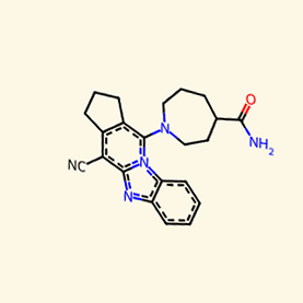 N#Cc1c2c(c(N3CCCC(C(N)=O)CC3)n3c1nc1ccccc13)CCC2